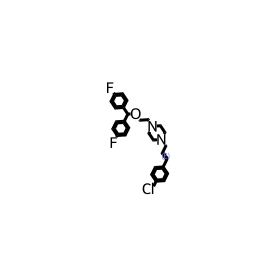 Fc1ccc(C(OCCN2CCN(C/C=C/c3ccc(Cl)cc3)CC2)c2ccc(F)cc2)cc1